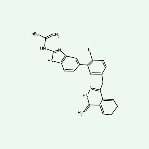 C=C(CCCC)Nc1nc2cc(-c3cc(CC4=NNC(=C)C5=CCCC=C54)ccc3F)ccc2[nH]1